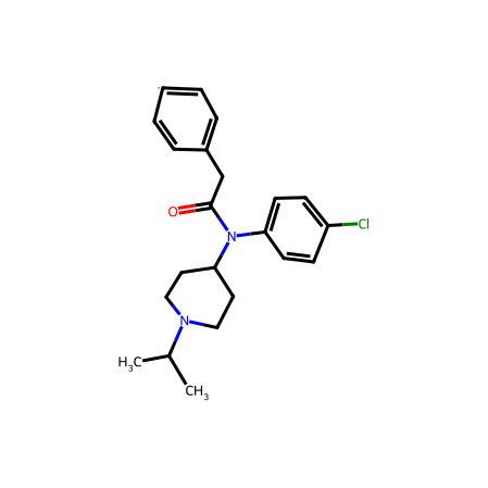 CC(C)N1CCC(N(C(=O)Cc2cc[c]cc2)c2ccc(Cl)cc2)CC1